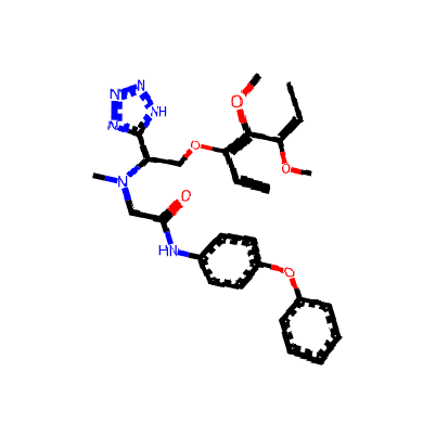 C=C/C(OCC(c1nnn[nH]1)N(C)CC(=O)Nc1ccc(Oc2ccccc2)cc1)=C(OC)\C(=C/C)OC